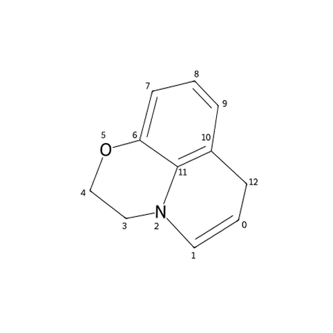 C1=CN2CCOc3cccc(c32)C1